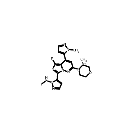 C[C@@H]1COCCN1c1cc(-c2ccnn2C)c2c(F)nc(-c3ccnn3PI)n2n1